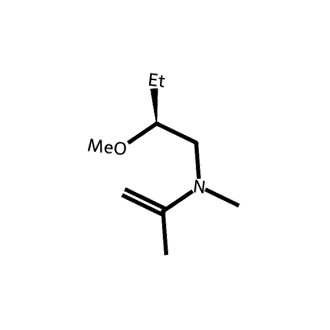 C=C(C)N(C)C[C@H](CC)OC